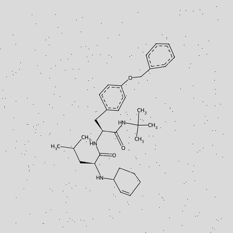 CC(C)C[C@H](NC1C=CCCC1)C(=O)N[C@@H](Cc1ccc(OCc2ccccc2)cc1)C(=O)NC(C)(C)C